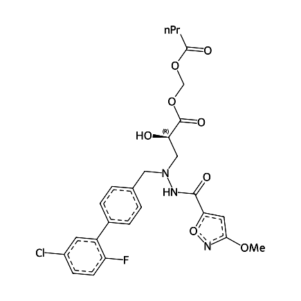 CCCC(=O)OCOC(=O)[C@H](O)CN(Cc1ccc(-c2cc(Cl)ccc2F)cc1)NC(=O)c1cc(OC)no1